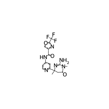 CN1C(=O)CC(C)(c2cc(NC(=O)c3coc(C(F)(F)F)n3)ccn2)N=C1N